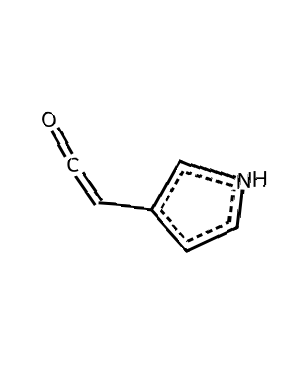 O=C=Cc1cc[nH]c1